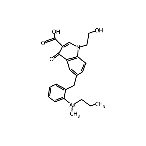 CCC[As](C)c1ccccc1Cc1ccc2c(c1)c(=O)c(C(=O)O)cn2CCO